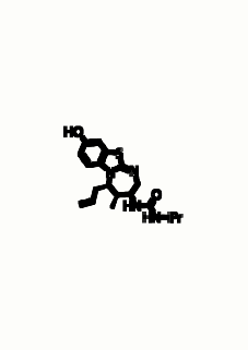 C=CC[C@@H]1[C@H](C)C(NC(=O)NC(C)C)CN=C2Sc3cc(O)ccc3N21